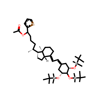 CC(=O)OC(CCC[C@@H](C)[C@H]1CC[C@H]2/C(=C/C=C3C[C@@H](O[Si](C)(C)C(C)(C)C)C(O[Si](C)(C)C(C)(C)C)[C@H](O[Si](C)(C)C(C)(C)C)C3)CCC[C@]12C)c1cccs1